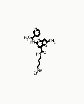 CCNCCCCNC(=O)c1nc(NC(C)c2cccnc2)nc2cc(C)sc12